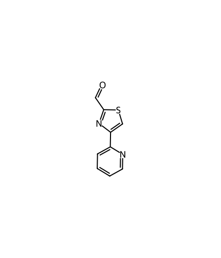 O=Cc1nc(-c2ccccn2)cs1